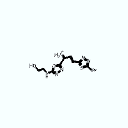 CC(C)c1nnc(CCC(C)c2nnc(NCCO)o2)s1